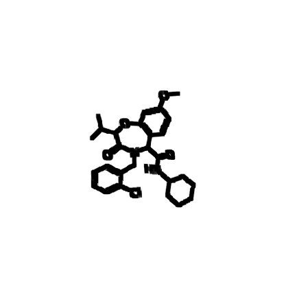 COc1ccc2c(c1)OC(C(C)C)C(=O)N(Cc1ccccc1Cl)C2C(=O)NC1CCCCC1